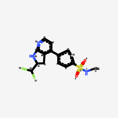 CC(C)(C)NS(=O)(=O)c1ccc(-c2ccnc3c2CC(C(F)F)N3)cc1